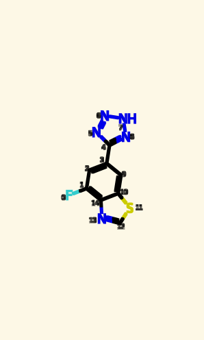 Fc1cc(-c2nn[nH]n2)cc2scnc12